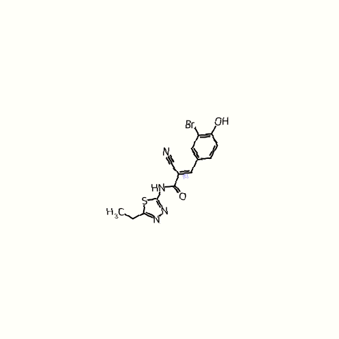 CCc1nnc(NC(=O)/C(C#N)=C/c2ccc(O)c(Br)c2)s1